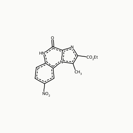 CCOC(=O)c1nc2c(=O)[nH]c3ccc([N+](=O)[O-])cc3n2c1C